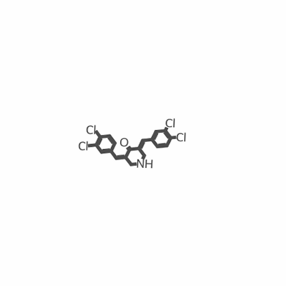 O=C1C(=Cc2ccc(Cl)c(Cl)c2)CNCC1=Cc1ccc(Cl)c(Cl)c1